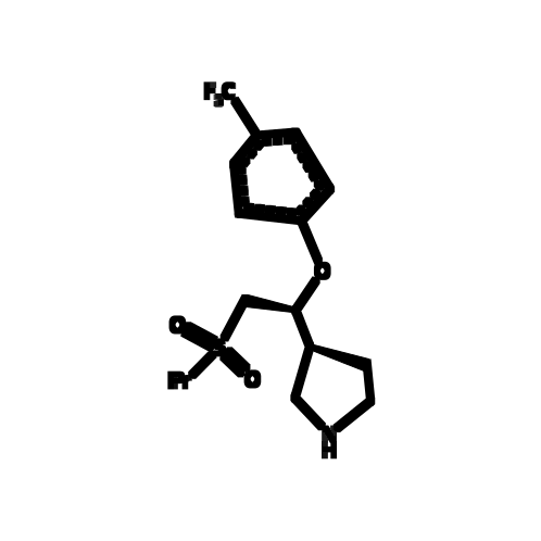 CC(C)S(=O)(=O)C[C@@H](Oc1ccc(C(F)(F)F)cc1)[C@H]1CCNC1